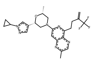 C=C(CCc1nc(N2C[C@@H](C)O[C@@H](c3cnn(C4CC4)c3)C2)cc2nc(C)cnc12)C(F)(F)F